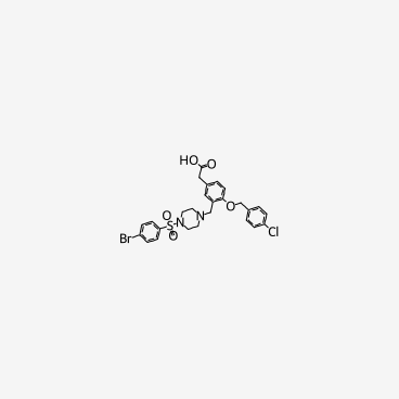 O=C(O)Cc1ccc(OCc2ccc(Cl)cc2)c(CN2CCN(S(=O)(=O)c3ccc(Br)cc3)CC2)c1